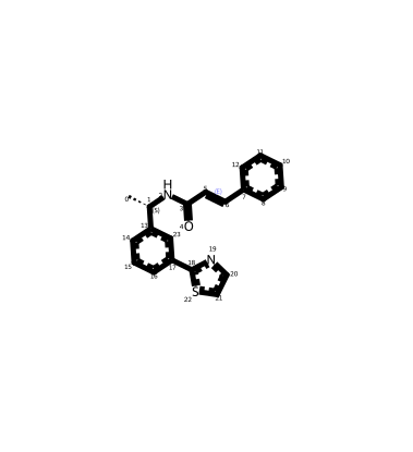 C[C@H](NC(=O)/C=C/c1ccccc1)c1cccc(-c2nccs2)c1